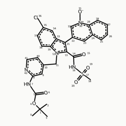 CC(C)(C)OC(=O)Nc1cc(Cn2c(C(=O)NS(C)(=O)=O)c(-c3cc4ccccc4[n+]([O-])c3)c3cc(Cl)ccc32)ccn1